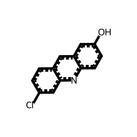 Oc1ccc2nc3cc(Cl)ccc3cc2c1